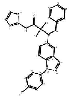 CC(C)(C(=O)Nc1nccs1)C(Cc1ccccc1)c1ccc2c(cnn2-c2ccc(F)cc2)c1